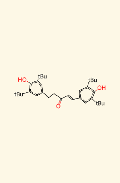 CC(C)(C)c1cc(C=CC(=O)CCc2cc(C(C)(C)C)c(O)c(C(C)(C)C)c2)cc(C(C)(C)C)c1O